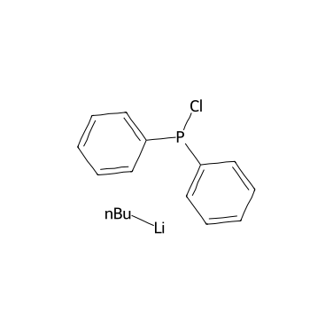 ClP(c1ccccc1)c1ccccc1.[Li][CH2]CCC